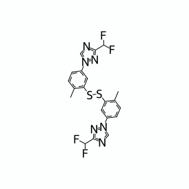 Cc1ccc(-n2cnc(C(F)F)n2)cc1SSc1cc(-n2cnc(C(F)F)n2)ccc1C